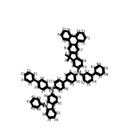 CC1(C)c2cc(N(c3ccc(-c4ccc(N(c5ccc(-c6ccccc6)cc5)c5ccc6c7ccccc7n(-c7ccccc7)c6c5)cc4)cc3)c3cccc(-c4ccccc4)c3)ccc2-c2cc3c4ccccc4c4ccccc4c3cc21